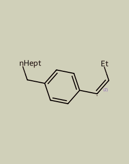 CC/C=[C]\c1ccc(CCCCCCCC)cc1